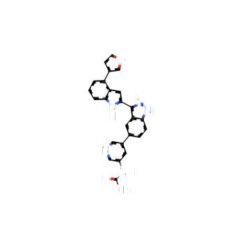 CC(C)(C)C(=O)Nc1cncc(-c2ccc3[nH]nc(-c4cc5c(-c6ccoc6)cccc5[nH]4)c3c2)c1